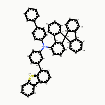 c1ccc(-c2ccc(N(c3cccc(-c4cccc5c4sc4ccccc45)c3)c3cccc4c3-c3ccccc3C43c4ccccc4-c4ccccc43)cc2)cc1